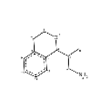 CC(CN)C1OCCc2ccccc21